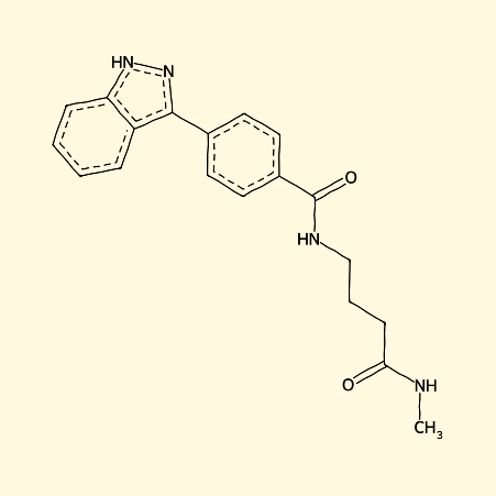 CNC(=O)CCCNC(=O)c1ccc(-c2n[nH]c3ccccc23)cc1